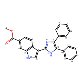 COC(=O)c1ccc2c(-c3nc(-c4ccccc4)c(-c4ccccc4)[nH]3)c[nH]c2c1